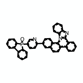 O=P1(c2ccc(-c3ccc4c(ccc5c6ccccc6c6nc7ccccc7n6c45)c3)nc2)c2ccccc2-c2ccccc21